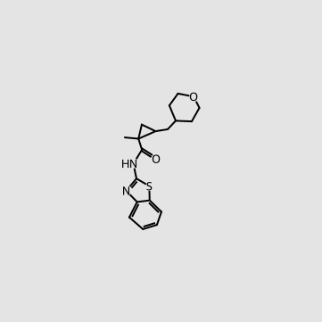 CC1(C(=O)Nc2nc3ccccc3s2)CC1CC1CCOCC1